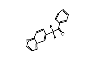 O=C(c1ccccc1)C(F)(F)c1ccc2ncccc2c1